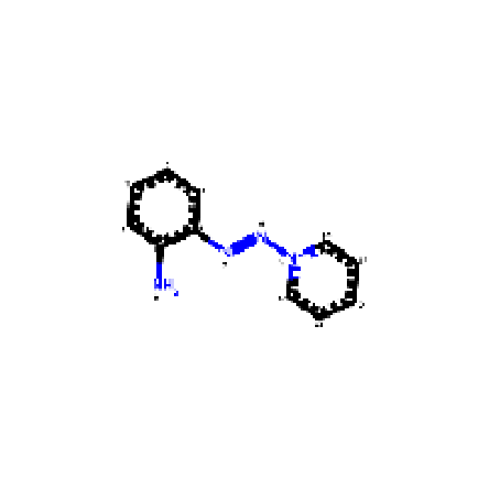 Nc1ccccc1N=N[n+]1ccccc1